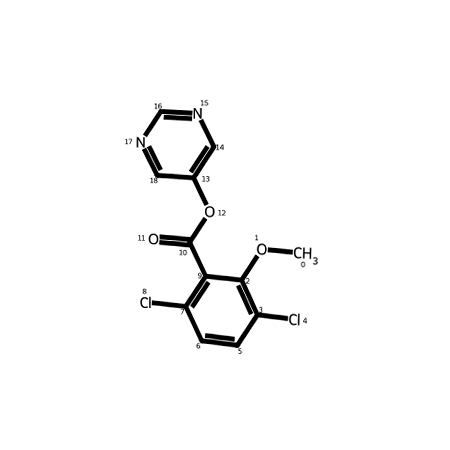 COc1c(Cl)ccc(Cl)c1C(=O)Oc1cncnc1